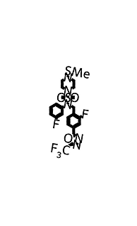 CSN1CCN(S(=O)(=O)N(Cc2ccc(-c3nnc(C(F)(F)F)o3)cc2F)c2cccc(F)c2)CC1